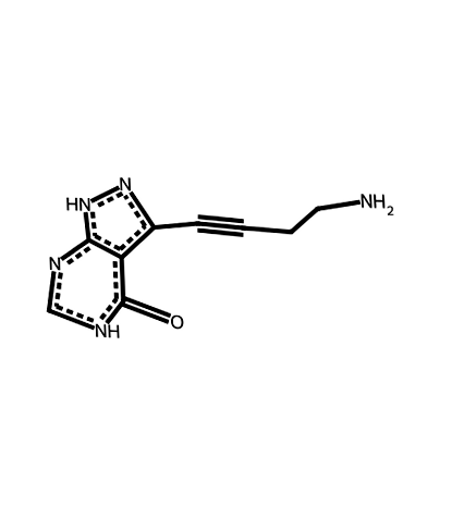 NCCC#Cc1n[nH]c2nc[nH]c(=O)c12